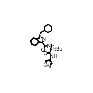 CC(C)(C)[C@H](NC(=O)c1nn(CC2CCCCC2)c2ccccc12)C(=O)Nc1cnoc1